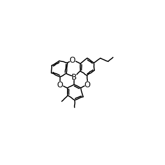 CCCc1cc2c3c(c1)Oc1cc(C)c(C)c4c1B3c1c(cccc1O4)O2